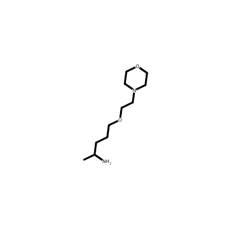 CC(N)CCCOCCN1CCOCC1